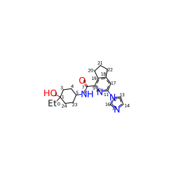 CCC1(O)CCC(NC(=O)c2nc(-n3ccnc3)cc3c2CCC3)CC1